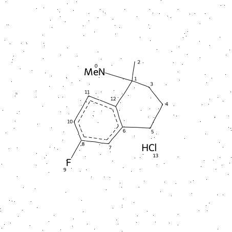 CNC1(C)CCCc2cc(F)ccc21.Cl